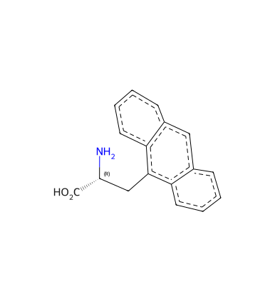 N[C@H](Cc1c2ccccc2cc2ccccc12)C(=O)O